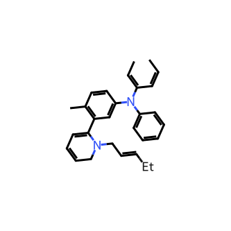 C/C=C\C(=C/C)N(c1ccccc1)c1ccc(C)c(C2=CC=CCN2CC=CCC)c1